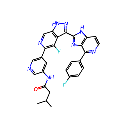 CC(C)CC(=O)Nc1cncc(-c2ncc3[nH]nc(-c4nc5c(-c6ccc(F)cc6)nccc5[nH]4)c3c2F)c1